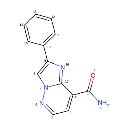 NC(=O)c1ccnn2cc(-c3ccccc3)nc12